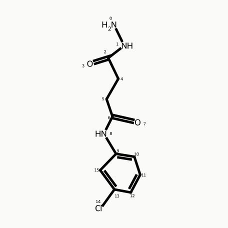 NNC(=O)CCC(=O)Nc1cccc(Cl)c1